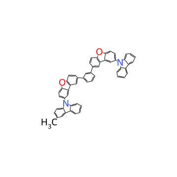 Cc1ccc2c(c1)c1ccccc1n2-c1ccc2oc3ccc(-c4cccc(-c5ccc6oc7ccc(-n8c9ccccc9c9ccccc98)cc7c6c5)c4)cc3c2c1